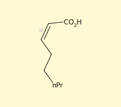 CCCCC/C=C\C(=O)O